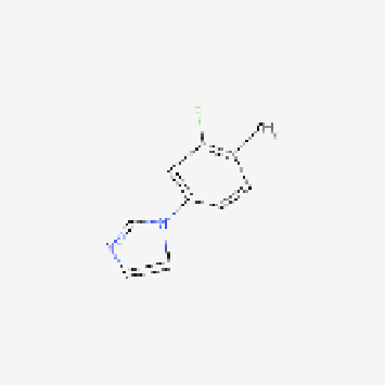 [CH2]c1ccc(-n2ccnc2)cc1F